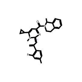 C=C(/C=C1/N=C(C(=O)N2CCc3ccccc3C2C)C=C(C2CC2)N1C)c1ccc(C)cc1F